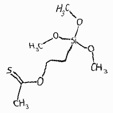 CO[Si](CCOC(C)=S)(OC)OC